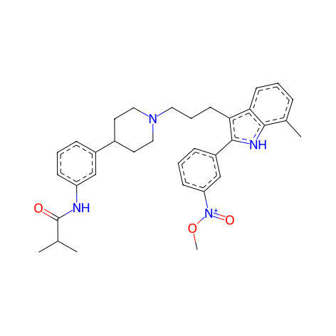 CO[N+](=O)c1cccc(-c2[nH]c3c(C)cccc3c2CCCN2CCC(c3cccc(NC(=O)C(C)C)c3)CC2)c1